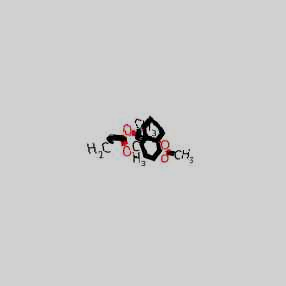 C=CC(=O)OC(C)(C)[C@]12CCCC[C@@]1(OC(C)=O)CCCC2